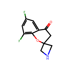 O=C1CC2(CNC2)Oc2c(F)cc(F)cc21